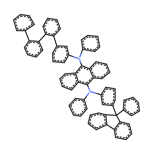 c1ccc(-c2ccccc2-c2ccccc2-c2cccc(N(c3ccccc3)c3c4ccccc4c(N(c4ccccc4)c4cccc(C5(c6ccccc6)c6ccccc6-c6ccccc65)c4)c4ccccc34)c2)cc1